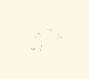 CC(OC1CN(C(=O)O)C(CO[Si](C)(C)C(C)(C)C)C1c1ccccc1)c1cc(C(F)(F)F)cc(C(F)(F)F)c1